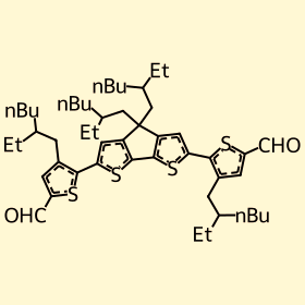 CCCCC(CC)Cc1cc(C=O)sc1-c1cc2c(s1)-c1sc(-c3sc(C=O)cc3CC(CC)CCCC)cc1C2(CC(CC)CCCC)CC(CC)CCCC